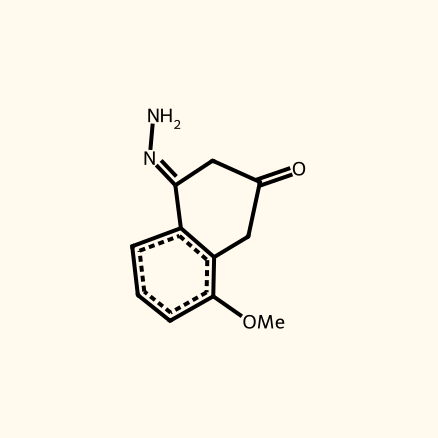 COc1cccc2c1CC(=O)CC2=NN